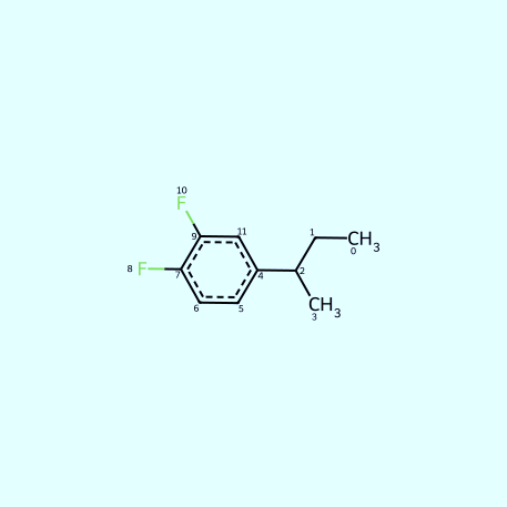 CCC(C)c1ccc(F)c(F)c1